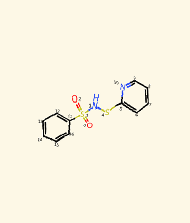 O=S(=O)(NSc1ccccn1)c1ccccc1